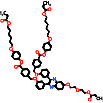 C=CC(=O)OCCCCCCOc1ccc(OC(=O)c2ccc(COc3cccc(-c4nc5ccc(OCCOCCOC(=O)C=C)cc5nc4-c4cccc(OCc5ccc(C(=O)Oc6ccc(OCCCCCCOC(=O)C=C)cc6)cc5)c4)c3)cc2)cc1